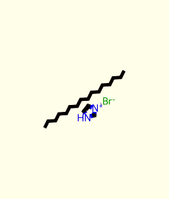 CCCCCCCCCCCCCCCC.C[n+]1cc[nH]c1.[Br-]